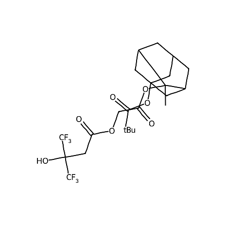 CC(C)(C)C(=O)OC12CC3CC(C1)C(C)(OC(=O)COC(=O)CC(O)(C(F)(F)F)C(F)(F)F)C(C3)C2